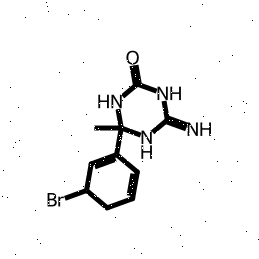 CC1(C2=CC(Br)CC=C2)NC(=N)NC(=O)N1